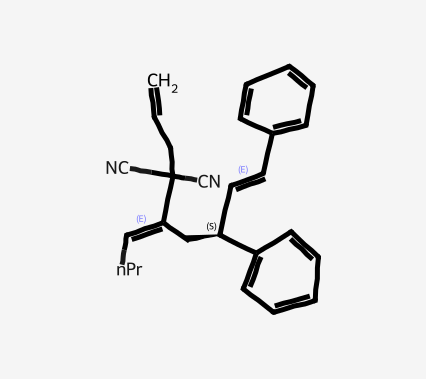 C=CCC(C#N)(C#N)/C(=C/CCC)C[C@@H](/C=C/c1ccccc1)c1ccccc1